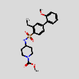 CC(C)(C)OC(=O)N1CCC(NS(=O)(=O)c2ccc(-c3ccccc3OC(F)(F)F)cc2CC(F)(F)F)CC1